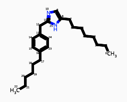 CCCCCCCCc1cnc(Cc2ccc(CCCCCC)cc2)[nH]1